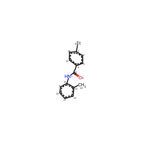 CCc1ccc(C(=O)Nc2ccccc2C)cc1